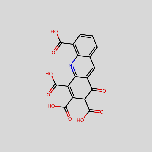 O=C(O)C1=C(C(=O)O)C(C(=O)O)C(=O)c2cc3cccc(C(=O)O)c3nc21